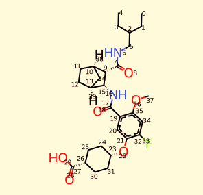 CCC(CC)CNC(=O)[C@H]1[C@@H]2CC[C@@H](C2)[C@H]1NC(=O)c1cc(O[C@H]2CC[C@@H](C(=O)O)CC2)c(F)cc1OC